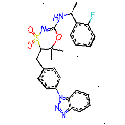 C[C@H](NC1=NS(=O)(=O)C(Cc2ccc(-n3nnc4ccccc43)cc2)C(C)(C)O1)c1ccccc1F